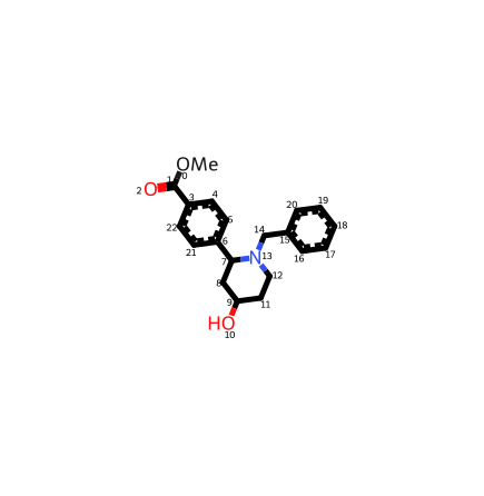 COC(=O)c1ccc(C2CC(O)CCN2Cc2ccccc2)cc1